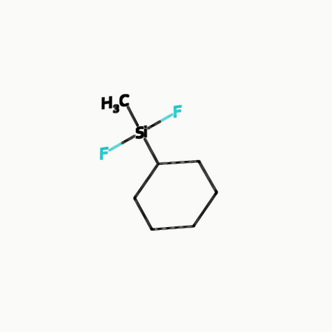 C[Si](F)(F)C1CCCCC1